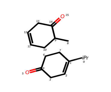 CC(C)C1=CCC(=O)CC1.CC1CC=CCC1=O